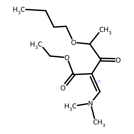 CCCCOC(C)C(=O)/C(=C/N(C)C)C(=O)OCC